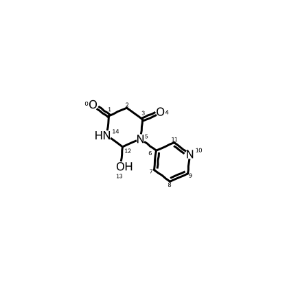 O=C1CC(=O)N(c2cccnc2)C(O)N1